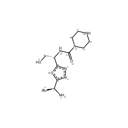 CCC(C)[C@H](N)c1nnc([C@H](CO)NC(=O)N2CCNCC2)o1